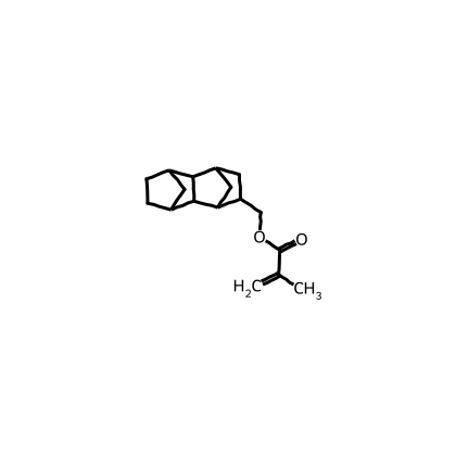 C=C(C)C(=O)OCC1CC2CC1C1C3CCC(C3)C21